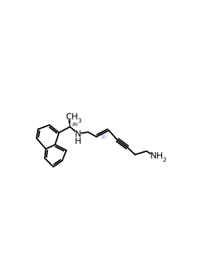 C[C@@H](NC/C=C/C#CCCN)c1cccc2ccccc12